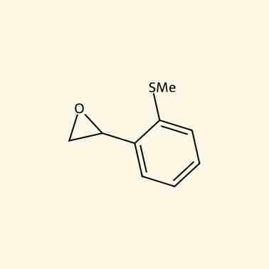 CSc1ccccc1C1CO1